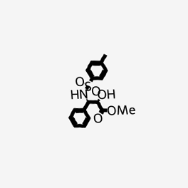 COC(=O)[C@H](O)[C@@H](NS(=O)(=O)c1ccc(C)cc1)c1ccccc1